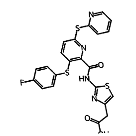 O=C(O)Cc1csc(NC(=O)c2nc(Sc3ccccn3)ccc2Sc2ccc(F)cc2)n1